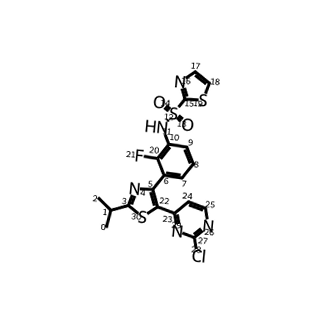 CC(C)c1nc(-c2cccc(NS(=O)(=O)c3nccs3)c2F)c(-c2ccnc(Cl)n2)s1